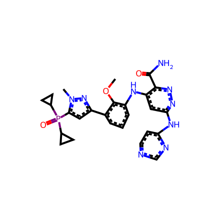 COc1c(Nc2cc(Nc3ccncn3)nnc2C(N)=O)cccc1-c1cc(P(=O)(C2CC2)C2CC2)n(C)n1